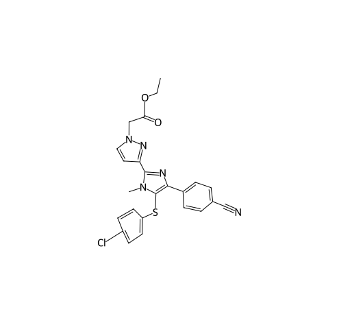 CCOC(=O)Cn1ccc(-c2nc(-c3ccc(C#N)cc3)c(Sc3ccc(Cl)cc3)n2C)n1